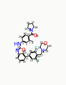 Cc1cc(Nc2nc3cccc(-c4cc(F)c(CN5CCOCC5)c(F)c4)c3o2)ccc1C(=O)N1CCCC1